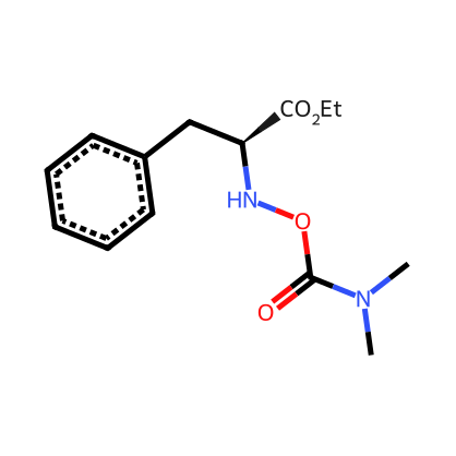 CCOC(=O)[C@H](Cc1ccccc1)NOC(=O)N(C)C